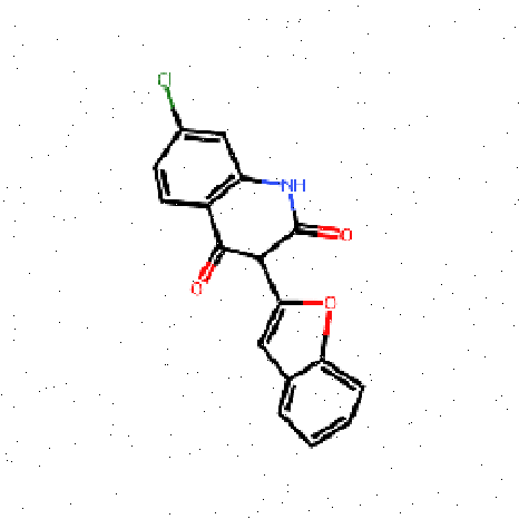 O=C1Nc2cc(Cl)ccc2C(=O)C1c1cc2ccccc2o1